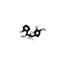 CCCCC(c1ccccc1Cl)C(C)(C)Cc1ccc(C(C)(C)C)c(Cl)c1